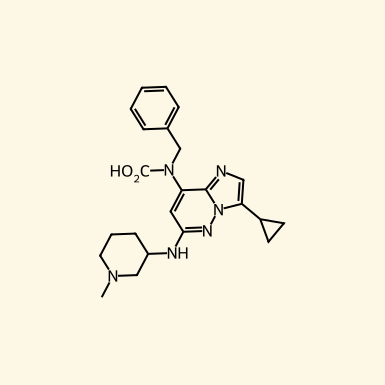 CN1CCCC(Nc2cc(N(Cc3ccccc3)C(=O)O)c3ncc(C4CC4)n3n2)C1